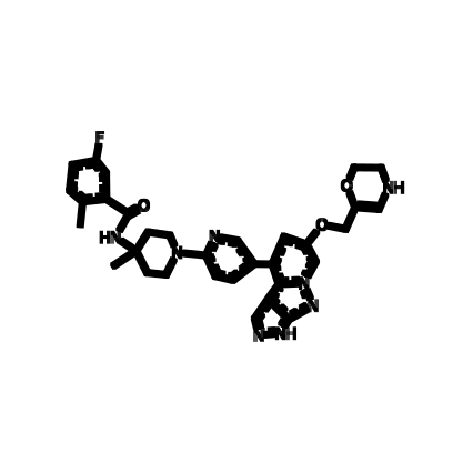 Cc1ccc(F)cc1C(=O)NC1(C)CCN(c2ccc(-c3cc(OCC4=CNCCO4)cn4nc5[nH]ncc5c34)cn2)CC1